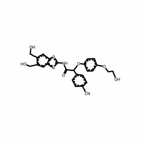 N#Cc1ccc(C(Oc2ccc(OCCO)cc2)C(=O)Nc2nc3cc(CO)c(CO)cc3s2)cc1